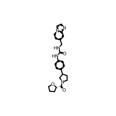 O=C(NCc1ccn2ccnc2c1)Nc1ccc(C2CCN(C(=O)[C@@H]3CCCO3)C2)cc1